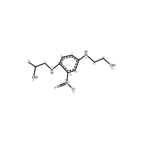 CC(O)CNc1ccc(NCCO)cc1[N+](=O)[O-]